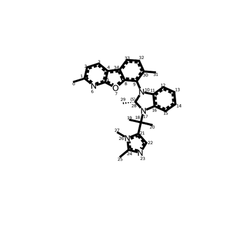 Cc1ccc2c(n1)oc1c(N3c4ccccc4N(C(C)(C)c4cnc(C)n4C)[C@@H]3C)c(C)ccc12